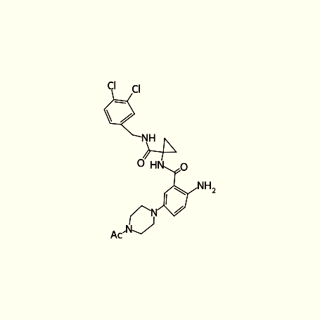 CC(=O)N1CCN(c2ccc(N)c(C(=O)NC3(C(=O)NCc4ccc(Cl)c(Cl)c4)CC3)c2)CC1